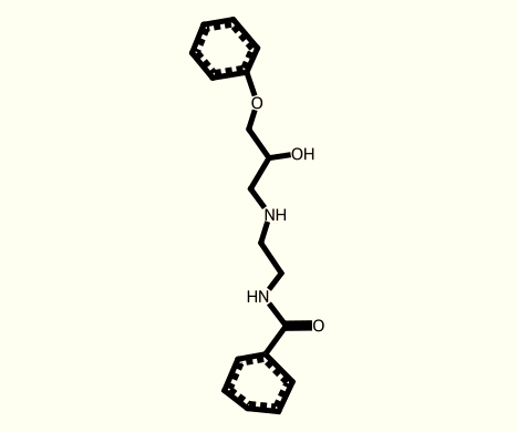 O=C(NCCNCC(O)COc1ccccc1)c1ccccc1